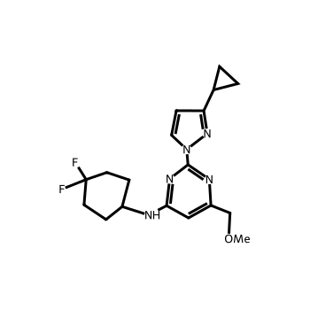 COCc1cc(NC2CCC(F)(F)CC2)nc(-n2ccc(C3CC3)n2)n1